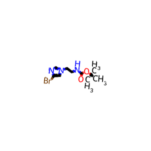 CC(C)(C)OC(=O)NCCn1cnc(Br)c1